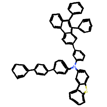 c1ccc(-c2ccc(-c3ccc(N(c4cccc(-c5ccc6c(c5)c(-c5ccccc5)c(-c5ccccc5)c5ccccc56)c4)c4ccc5sc6ccccc6c5c4)cc3)cc2)cc1